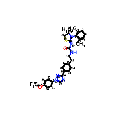 Cc1cccc(C)c1N1/C(=N/C(=O)NCCc2ccc(-c3ncn(-c4ccc(OC(F)(F)F)cc4)n3)cc2)SCC1C